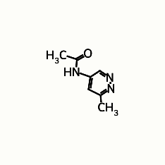 CC(=O)Nc1cnnc(C)c1